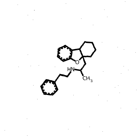 CC(CC12CCCCC1c1ccccc1O2)NCCc1ccccc1